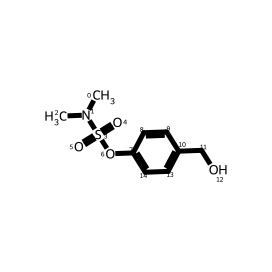 CN(C)S(=O)(=O)Oc1ccc(CO)cc1